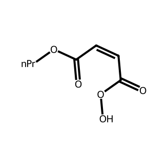 CCCOC(=O)/C=C\C(=O)OO